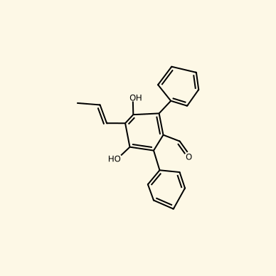 CC=Cc1c(O)c(-c2ccccc2)c(C=O)c(-c2ccccc2)c1O